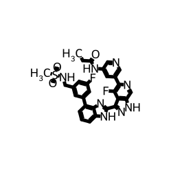 CCC(=O)Nc1cncc(-c2ncc3[nH]nc(-c4nc5c(-c6cc(F)cc(CNS(C)(=O)=O)c6)cccc5[nH]4)c3c2F)c1